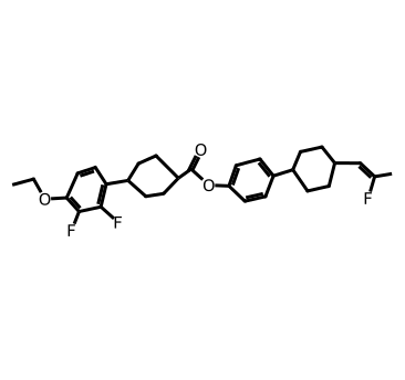 CCOc1ccc(C2CCC(C(=O)Oc3ccc(C4CCC(/C=C(/C)F)CC4)cc3)CC2)c(F)c1F